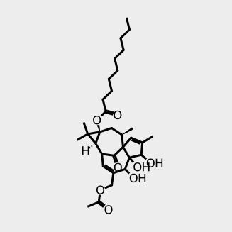 CCCCCCCCCC(=O)O[C@@]12C[C@@H](C)C34C=C(C)C(O)C3(O)C(O)C(COC(C)=O)=CC(C4=O)[C@H]1C2(C)C